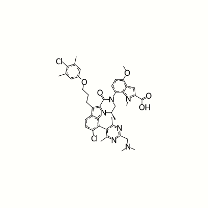 COc1ccc(N2C[C@@H](C)n3c(c(CCCOc4cc(C)c(Cl)c(C)c4)c4ccc(Cl)c(-c5c(C)nc(CN(C)C)nc5C)c43)C2=O)c2c1cc(C(=O)O)n2C